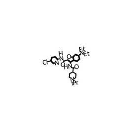 CCN(CC)c1ccc2c(NC(=O)C3CCN(C(C)C)CC3)c(C(=O)Nc3ccc(Cl)cn3)oc2c1